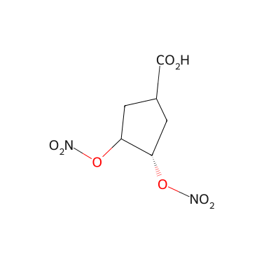 O=C(O)C1CC(O[N+](=O)[O-])[C@@H](O[N+](=O)[O-])C1